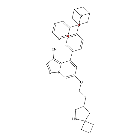 N#Cc1cnn2cc(OCCC3CNC4(CCC4)C3)cc(-c3ccc(N4CC5CC(C4)N5Cc4cccnc4)nc3)c12